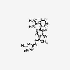 C=C/C(=C\C=C(/C)n1cnc2c(sc3nccc(N(C)C)c32)c1=O)OCCC